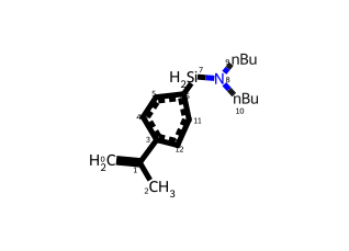 C=C(C)c1ccc([SiH2]N(CCCC)CCCC)cc1